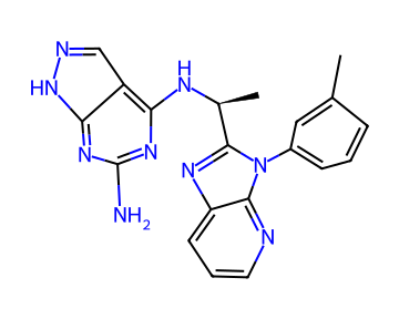 Cc1cccc(-n2c([C@H](C)Nc3nc(N)nc4[nH]ncc34)nc3cccnc32)c1